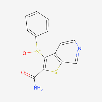 NC(=O)c1sc2cnccc2c1[S+]([O-])c1ccccc1